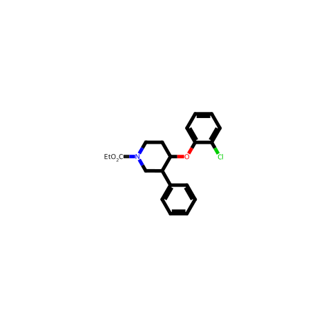 CCOC(=O)N1CCC(Oc2ccccc2Cl)C(c2ccccc2)C1